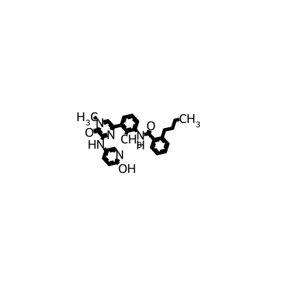 CCCCc1ccccc1C(=O)Nc1cccc(-c2cn(C)c(=O)c(Nc3ccc(O)nc3)n2)c1C